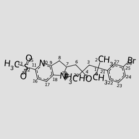 CC(C)(CC(O)(CC1Cc2nc(S(C)(=O)=O)ccc2N1)C(F)(F)F)c1cccc(Br)c1